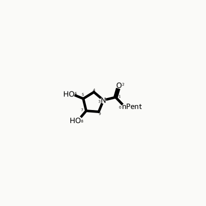 CCCCCC(=O)N1CC(O)C(O)C1